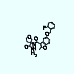 Cc1oc2ccc(OCc3ccccc3F)cc2c1C(=O)NC1(C(N)=O)CCOC1